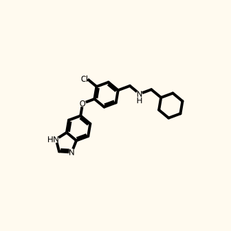 Clc1cc(CNCC2CCCCC2)ccc1Oc1ccc2nc[nH]c2c1